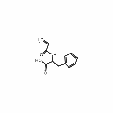 C=CC(=O)NC(Cc1ccccc1)C(=O)O